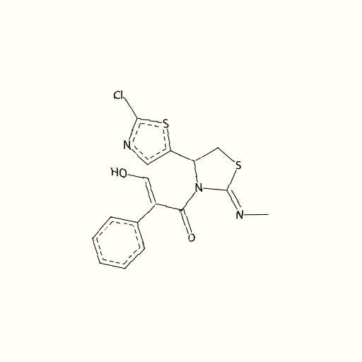 C/N=C1\SCC(c2cnc(Cl)s2)N1C(=O)/C(=C/O)c1ccccc1